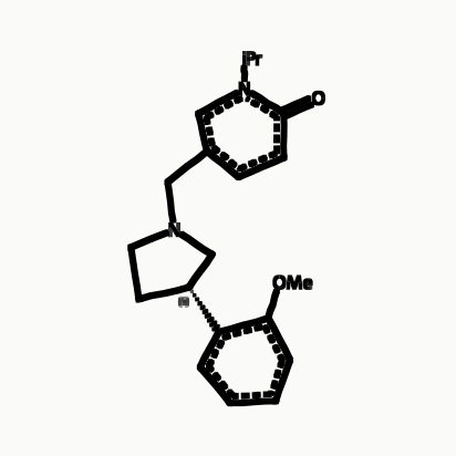 COc1ccccc1[C@@H]1CCN(Cc2ccc(=O)n(C(C)C)c2)C1